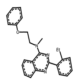 CCc1ccccc1-c1nc(N(C)CCOc2ccccc2)c2ccccc2n1